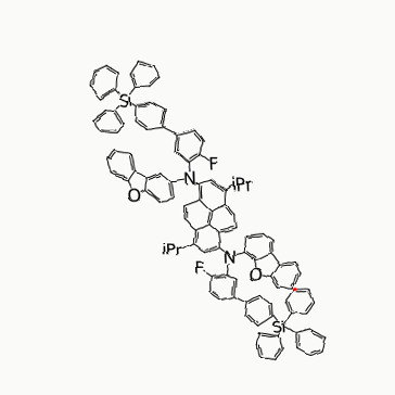 CC(C)c1cc(N(c2ccc3oc4ccccc4c3c2)c2cc(-c3ccc([Si](c4ccccc4)(c4ccccc4)c4ccccc4)cc3)ccc2F)c2ccc3c(C(C)C)cc(N(c4cc(-c5ccc([Si](c6ccccc6)(c6ccccc6)c6ccccc6)cc5)ccc4F)c4cccc5c4oc4ccccc45)c4ccc1c2c34